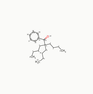 CCCCC(CCCC)(CCCC)C(=O)c1ccccc1